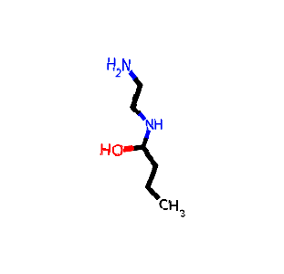 CCCC(O)NCCN